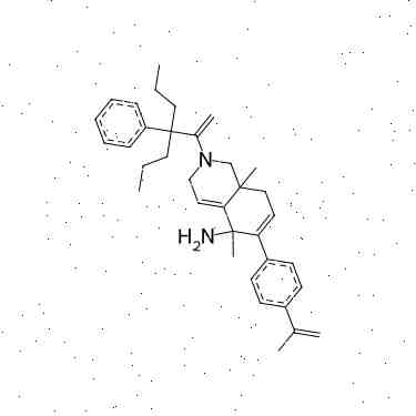 C=C(C)c1ccc(C2=CCC3(C)CN(C(=C)C(CCC)(CCC)c4ccccc4)CC=C3C2(C)N)cc1